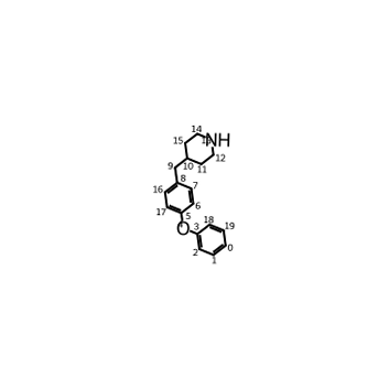 c1ccc(Oc2ccc(CC3CCNCC3)cc2)cc1